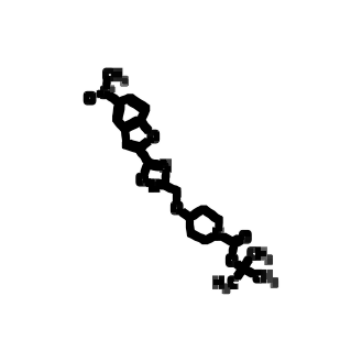 C[S+]([O-])c1ccc2oc(-c3nc(COC4CCN(C(=O)OC(C)(C)C)CC4)no3)cc2c1